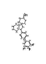 CCC[C@H]1CC[C@](CCc2ccc(-c3cc(F)c(F)c(F)c3)cc2)(C2CCCCC2)CC1